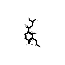 CCCc1c(O)ccc(C(=O)CC(C)C)c1O